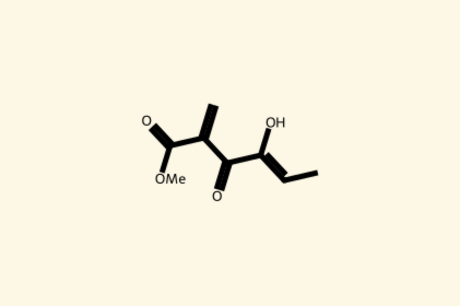 C=C(C(=O)OC)C(=O)C(O)=CC